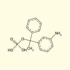 CC(OP(=O)(O)O)(c1ccccc1)c1cccc(N)c1